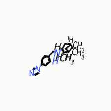 C[C@@H]1[C@@H](NCc2ccc(-n3ccnc3)cc2)C[C@H]2C[C@@H]1C2(C)C